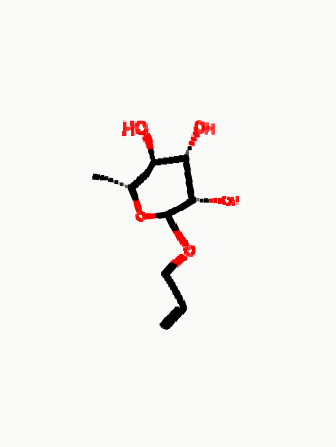 C=CCOC1O[C@H](C)[C@@H](O)[C@H](O)[C@@H]1O